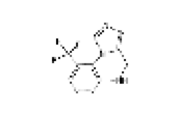 FC(F)(F)c1cccc2c1-n1cnnc1CN2